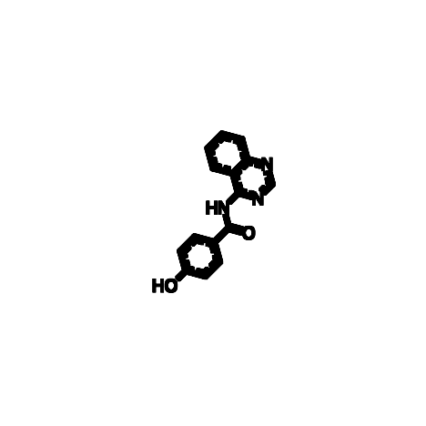 O=C(Nc1ncnc2ccccc12)c1ccc(O)cc1